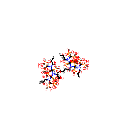 CCCN(C(P(=O)(O)O)P(=O)(O)O)C(N(CCCC[C@@H](C(=O)O)N(C(N(CCC)C(P(=O)(O)O)P(=O)(O)O)(P(=O)(O)O)P(=O)(O)O)C(N(CCC)C(P(=O)(O)O)P(=O)(O)O)(P(=O)(O)O)P(=O)(O)O)C(N(CCC)C(P(=O)(O)O)P(=O)(O)O)(P(=O)(O)O)P(=O)(O)O)(P(=O)(O)O)P(=O)(O)O